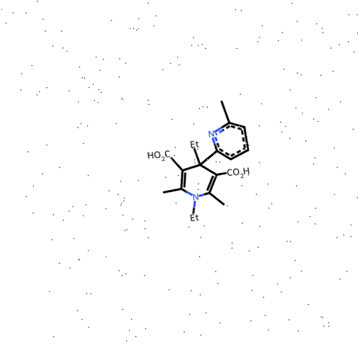 CCN1C(C)=C(C(=O)O)C(CC)(c2cccc(C)n2)C(C(=O)O)=C1C